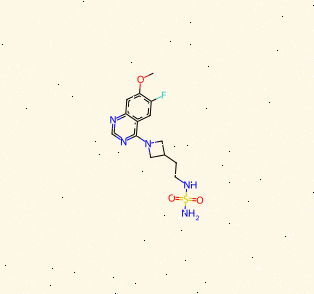 COc1cc2ncnc(N3CC(CCNS(N)(=O)=O)C3)c2cc1F